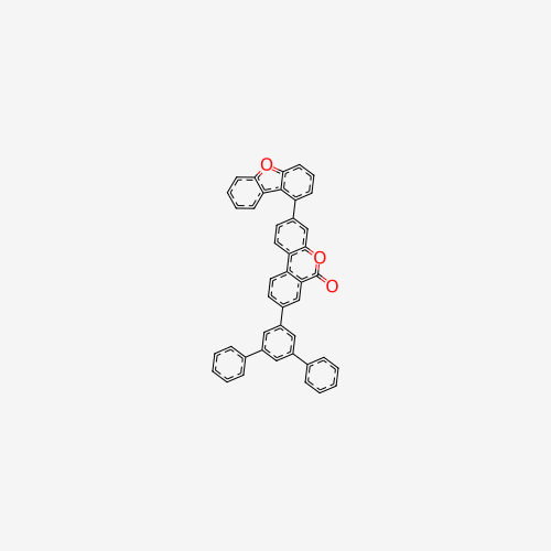 O=c1oc2cc(-c3cccc4oc5ccccc5c34)ccc2c2ccc(-c3cc(-c4ccccc4)cc(-c4ccccc4)c3)cc12